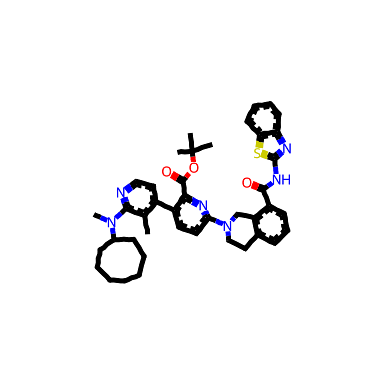 Cc1c(-c2ccc(N3CCc4cccc(C(=O)Nc5nc6ccccc6s5)c4C3)nc2C(=O)OC(C)(C)C)ccnc1N(C)C1CCCCCCC1